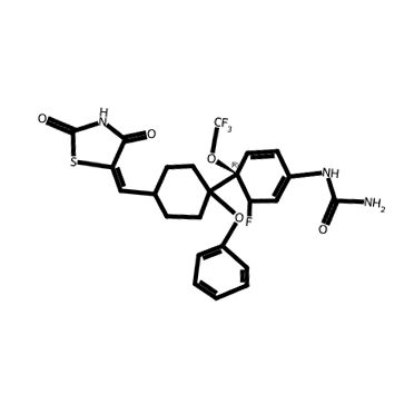 NC(=O)NC1=CC(F)[C@](OC(F)(F)F)(C2(Oc3ccccc3)CCC(C=C3SC(=O)NC3=O)CC2)C=C1